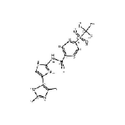 Cc1nc(C)c(-c2csc(NC(=O)c3ccc(S(=O)(=O)C(F)(F)F)cc3)n2)s1